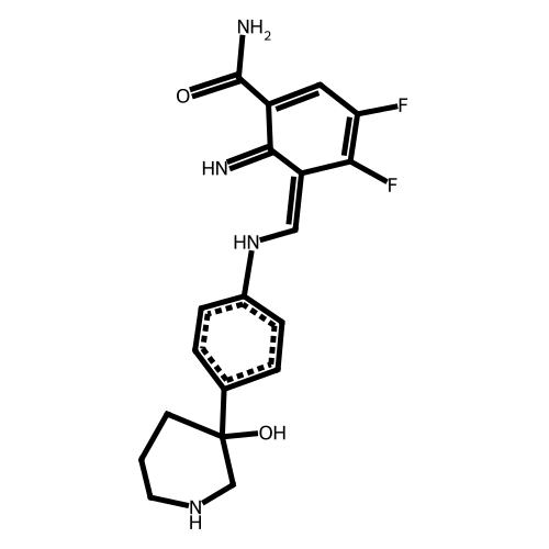 N=C1C(C(N)=O)=CC(F)=C(F)/C1=C/Nc1ccc(C2(O)CCCNC2)cc1